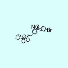 O=C(C=Cc1ccc(Sc2ccc(Br)cc2)c([N+](=O)[O-])c1)OC(=O)C12CCC(CC1)C2